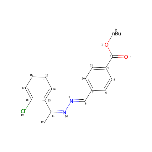 CCCCOC(=O)c1ccc(C=NN=C(C)c2ccccc2Cl)cc1